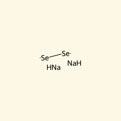 [NaH].[NaH].[Se][Se]